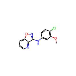 COc1cc(Nc2noc3cccnc23)ccc1Cl